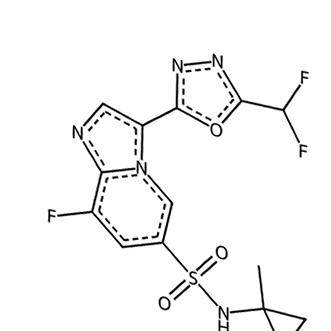 CC1(NS(=O)(=O)c2cc(F)c3ncc(-c4nnc(C(F)F)o4)n3c2)CC1